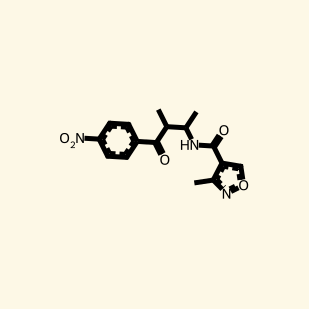 Cc1nocc1C(=O)NC(C)C(C)C(=O)c1ccc([N+](=O)[O-])cc1